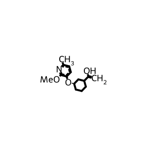 C=C(O)C1CCC[C@H](Oc2ccc(C)nc2OC)C1